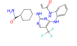 C=CC(=O)Nc1ccccc1Nc1nc(N[C@H]2CC[C@H](C(N)=O)CC2)ncc1C(F)(F)F